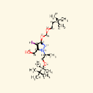 C[C@@H](CO[Si](C)(C)C(C)(C)C)n1nc(OCOCC[Si](C)(C)C)c(I)c1CO